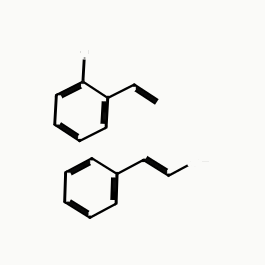 C=Cc1ccccc1O.OC=Cc1ccccc1